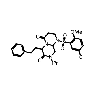 COc1ccc(Cl)cc1S(=O)(=O)N1CCC(=O)N2C(CCc3ccccc3)C(=O)N(C(C)C)CC21